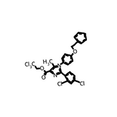 Cc1c(C(=O)OCC(Cl)(Cl)Cl)nc(-c2ccc(Cl)cc2Cl)n1-c1ccc(OCc2ccccc2)cc1